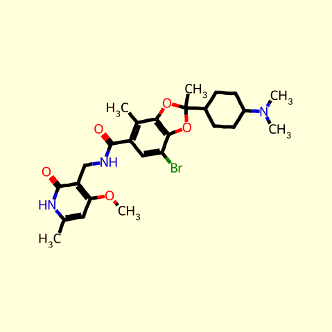 COc1cc(C)[nH]c(=O)c1CNC(=O)c1cc(Br)c2c(c1C)OC(C)(C1CCC(N(C)C)CC1)O2